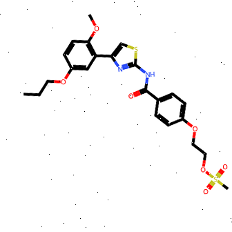 CCCOc1ccc(OC)c(-c2csc(NC(=O)c3ccc(OCCOS(C)(=O)=O)cc3)n2)c1